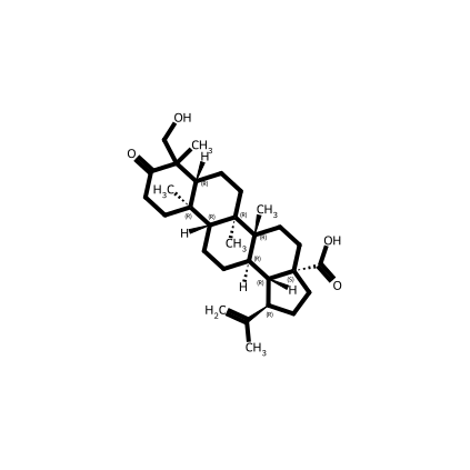 C=C(C)[C@@H]1CC[C@]2(C(=O)O)CC[C@]3(C)[C@H](CC[C@@H]4[C@@]5(C)CCC(=O)C(C)(CO)[C@@H]5CC[C@]43C)[C@@H]12